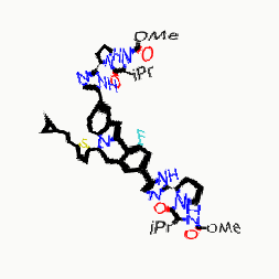 COC(=O)NC(C(=O)N1CCC[C@H]1c1ncc(-c2cc(F)c3c(c2)CC(c2ccc(CCC4CC4)s2)n2c-3cc3cc(-c4cnc([C@@H]5CCCN5C(=O)[C@@H](NC(=O)OC)C(C)C)[nH]4)ccc32)[nH]1)C(C)C